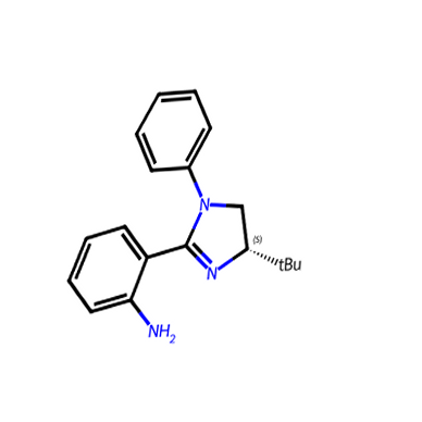 CC(C)(C)[C@H]1CN(c2ccccc2)C(c2ccccc2N)=N1